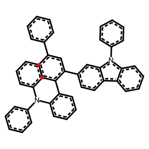 c1ccc(-c2ccc(-c3ccccc3N(c3ccccc3)c3ccccc3)c(-c3ccc4c5ccccc5n(-c5ccccc5)c4c3)c2)cc1